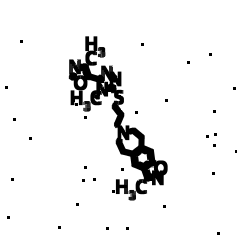 Cc1ncoc1-c1nnc(SCCCN2CCc3cc4onc(C)c4cc3CC2)n1C